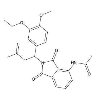 C=S(C)CC(c1ccc(OC)c(OCC)c1)N1C(=O)c2cccc(NC(C)=O)c2C1=O